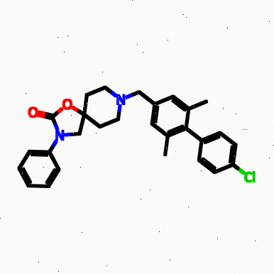 Cc1cc(CN2CCC3(CC2)CN(c2ccccc2)C(=O)O3)cc(C)c1-c1ccc(Cl)cc1